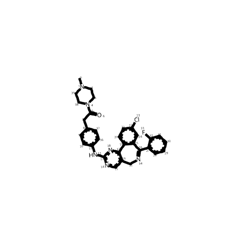 CN1CCN(C(=O)Cc2ccc(Nc3ncc4c(n3)-c3ccc(Cl)cc3C(c3ccccc3F)=NC4)cc2)CC1